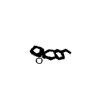 CCc1ccc2c(c1)CC1(CC3=CCC1C3)C(=O)C2